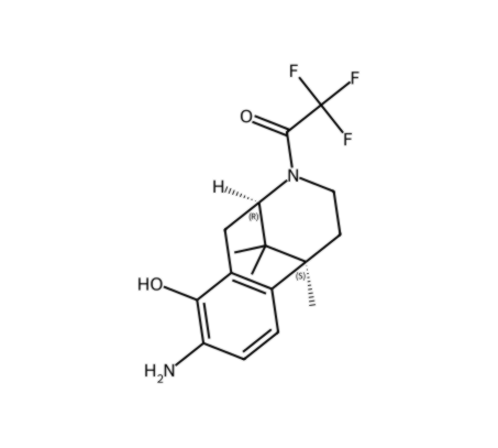 CC1(C)[C@H]2Cc3c(ccc(N)c3O)[C@]1(C)CCN2C(=O)C(F)(F)F